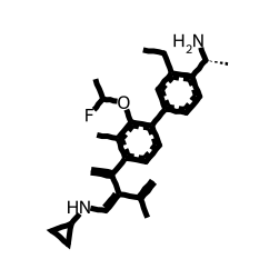 C=C(C)/C(=C/NC1CC1)C(=C)c1ccc(-c2ccc([C@@H](C)N)c(CC)c2)c(OC(C)F)c1C